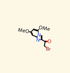 COc1cc(OC)n2cc(C(=O)CBr)nc2c1